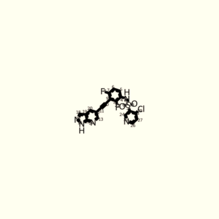 O=S(=O)(Nc1ccc(F)c(C#Cc2cnc3[nH]ncc3c2)c1F)c1cnccc1Cl